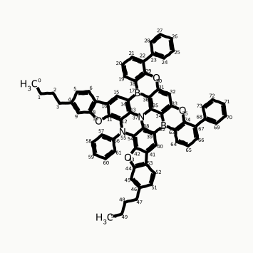 CCCCc1ccc2c(c1)oc1c3c4c(cc12)B1c2cccc(-c5ccccc5)c2Oc2cc5c6c(c21)N4c1c(cc2c(oc4cc(CCCC)ccc42)c1N3c1ccccc1)B6c1cccc(-c2ccccc2)c1O5